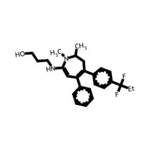 CCC(F)(F)c1ccc(C2=C(c3ccccc3)C=C(NCCCO)N(C)C(C)C2)cc1